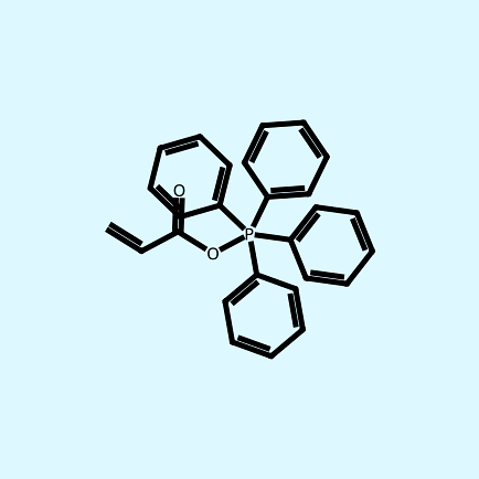 C=CC(=O)OP(c1ccccc1)(c1ccccc1)(c1ccccc1)c1ccccc1